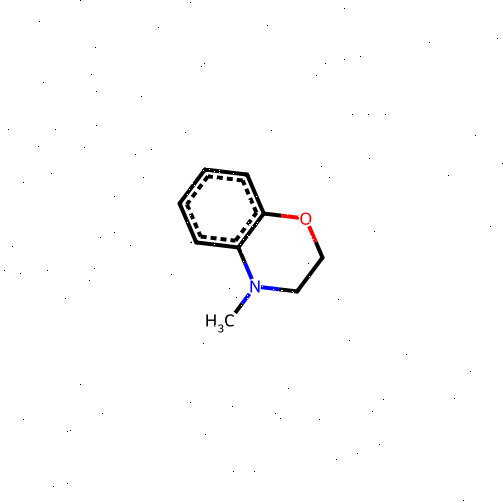 CN1CCOc2ccc[c]c21